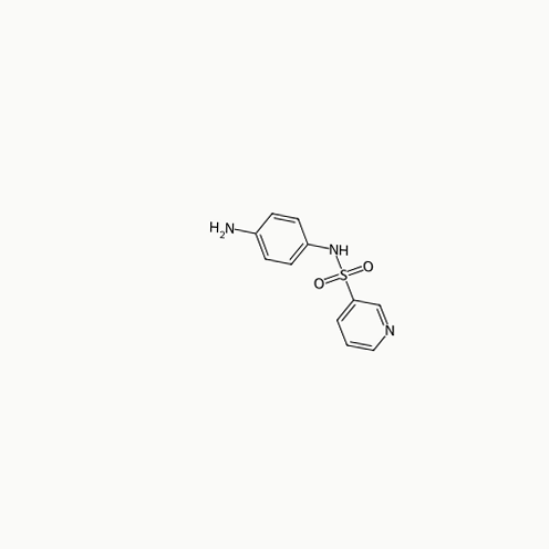 Nc1ccc(NS(=O)(=O)c2cccnc2)cc1